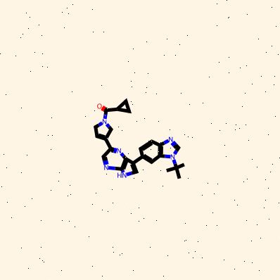 CC(C)(C)n1cnc2ccc(-c3c[nH]c4ncc(C5=CCN(C(=O)C6CC6)C5)nc34)cc21